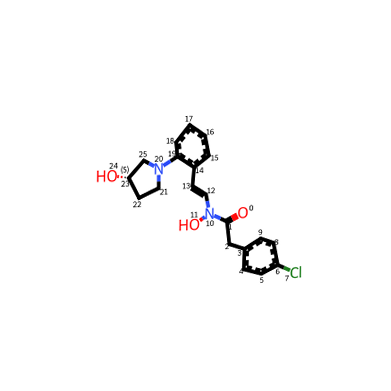 O=C(Cc1ccc(Cl)cc1)N(O)C=Cc1ccccc1N1CC[C@H](O)C1